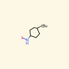 CC(C)(C)C1CCC(NI)CC1